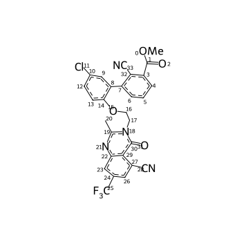 COC(=O)c1cccc(-c2cc(Cl)ccc2OCCn2c(C)nc3cc(C(F)(F)F)cc(C#N)c3c2=O)c1C#N